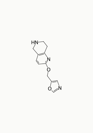 c1ncc(COc2ccc3c(n2)CCNC3)o1